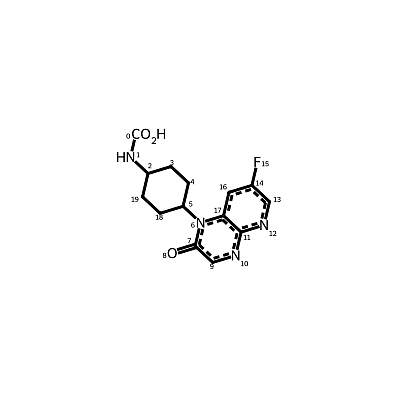 O=C(O)NC1CCC(n2c(=O)cnc3ncc(F)cc32)CC1